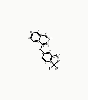 FC(F)(F)c1ccc(Cc2nncc3ccccc23)cc1Br